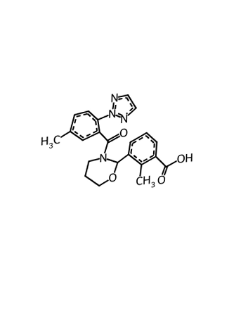 Cc1ccc(-n2nccn2)c(C(=O)N2CCCOC2c2cccc(C(=O)O)c2C)c1